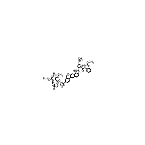 COC[C@H]1C[C@@H](c2nc3ccc4cc5c(cc4c3[nH]2)OCc2cc(-c3cnc([C@@H]4C[C@H]6C[C@H]6N4C(=O)[C@H](NC(=O)OC)[C@@H](C)OC)[nH]3)ccc2-5)N(C(=O)C(NC(=O)OC)c2ccccc2)C1